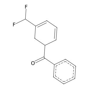 O=C(c1ccccc1)C1C=CC=C(C(F)F)C1